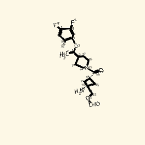 CC(Oc1cc(F)c(F)cc1F)C1CCN(C(=O)[C@H]2C[C@](N)(COC=O)C2)CC1